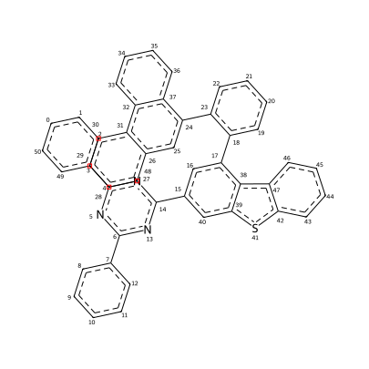 c1ccc(-c2nc(-c3ccccc3)nc(-c3cc(-c4ccccc4-c4cc5ccccc5c5ccccc45)c4c(c3)sc3ccccc34)n2)cc1